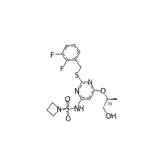 C[C@@H](CO)Oc1cc(NS(=O)(=O)N2CCC2)nc(SCc2cccc(F)c2F)n1